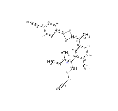 C=N/C(C)=C(\NCCC#N)c1cc(C(=C)N2CC(c3ccc(C#N)cc3)C2)ccc1C